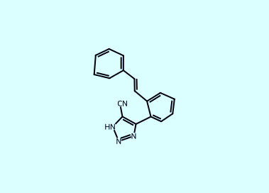 N#Cc1[nH]nnc1-c1ccccc1/C=C/c1ccccc1